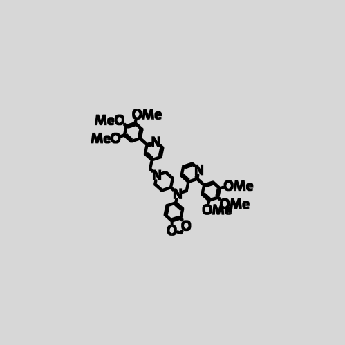 COc1cc(-c2cc(CN3CCC(N(Cc4cccnc4-c4cc(OC)c(OC)c(OC)c4)c4ccc5c(c4)OCO5)CC3)ccn2)cc(OC)c1OC